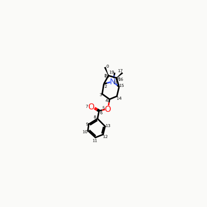 C[C@@H]1C2CC(OC(=O)c3ccccc3)CC([C@@H]1C)N2C